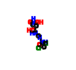 O=C(NCCN1CCC(NC[C@H](O)c2ccc(O)c3[nH]c(=O)ccc23)CC1)c1c(Cl)cccc1Cl